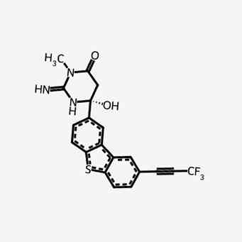 CN1C(=N)N[C@](O)(c2ccc3sc4ccc(C#CC(F)(F)F)cc4c3c2)CC1=O